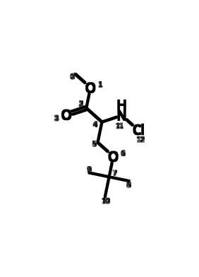 COC(=O)C(COC(C)(C)C)NCl